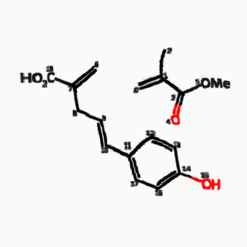 C=C(C)C(=O)OC.C=C(CC=Cc1ccc(O)cc1)C(=O)O